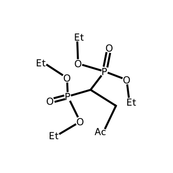 CCOP(=O)(OCC)C(CC(C)=O)P(=O)(OCC)OCC